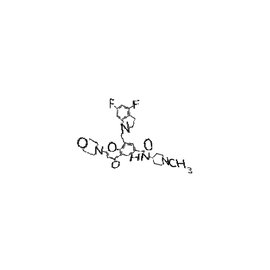 CN1CCC(NC(=O)c2cc(CN3CCc4c(F)cc(F)cc43)c3oc(N4CCOCC4)cc(=O)c3c2)CC1